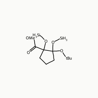 COC(=O)C1(O[SiH3])CCCC1(O[SiH3])OC(C)(C)C